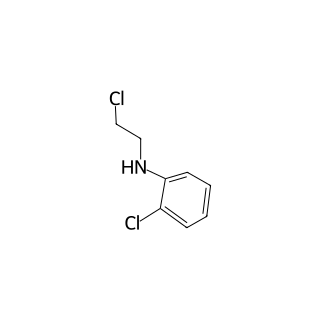 ClCCNc1ccccc1Cl